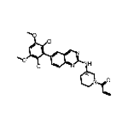 C=CC(=O)N1CCC[C@@H](Nc2ncc3cc(-c4c(Cl)c(OC)cc(OC)c4Cl)ccc3n2)C1